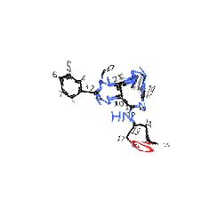 Cn1c(-c2ccccc2)nc2c(NC3CCOC3)ncnc21